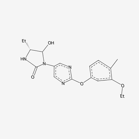 CCOc1cc(Oc2ncc(N3C(=O)N[C@H](CC)C3O)cn2)ccc1C